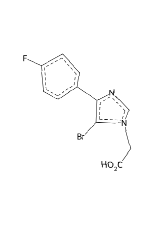 O=C(O)Cn1cnc(-c2ccc(F)cc2)c1Br